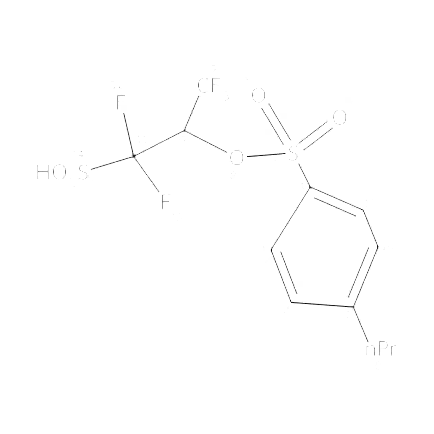 CCCc1ccc(S(=O)(=O)OC(C(F)(F)F)C(F)(F)S(=O)(=O)O)cc1